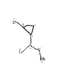 CCCON(CC)C1CC1CC